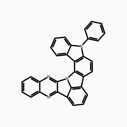 c1ccc(-n2c3ccccc3c3c2ccc2c4cccc5c6nc7ccccc7nc6n(c45)c23)cc1